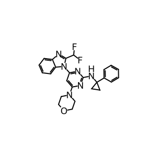 FC(F)c1nc2ccccc2n1-c1cc(N2CCOCC2)nc(NC2(c3ccccc3)CC2)n1